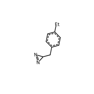 CCc1ccc(CC2N=N2)cc1